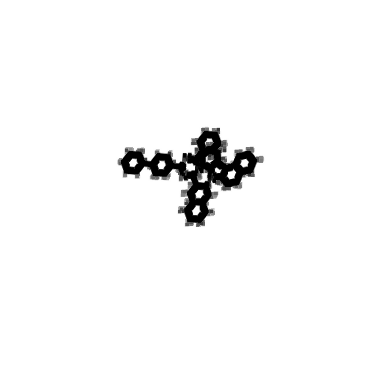 c1ccc(-c2ccc(-c3nc(-c4ccccc4)nc(-c4cc5ccccc5cc4-n4c5ccccc5c5c6ccccc6ccc54)n3)cc2)cc1